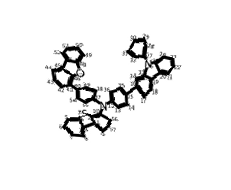 C1=c2c(sc3ccccc23)=C(N(c2ccc(-c3ccc4c5ccccc5n(-c5ccccc5)c4c3)cc2)c2ccc(-c3cccc4c3oc3ccccc34)cc2)CC1